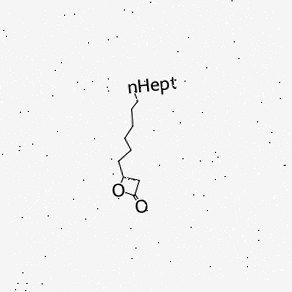 CCCCCCCCCCCCCC1CC(=O)O1